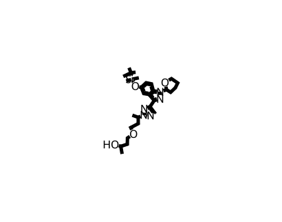 CC(O)CCOCCC(C)n1ncc(-c2nn(C3CCCCO3)c3ccc(O[Si](C)(C)C(C)(C)C)cc23)n1